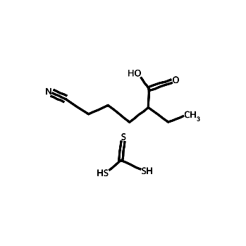 CCC(CCCC#N)C(=O)O.S=C(S)S